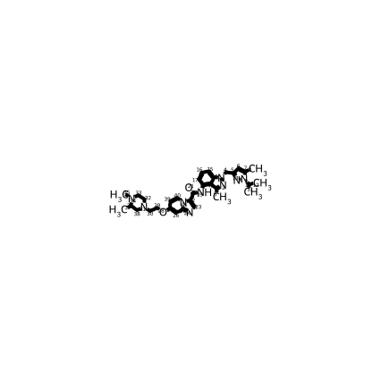 Cc1nn(Cc2cc(C)n(C(C)C)n2)c2cccc(NC(=O)c3cnc4cc(OCCN5CCN(C)C(C)C5)ccn34)c12